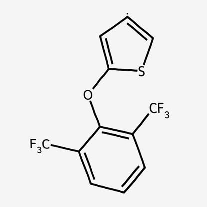 FC(F)(F)c1cccc(C(F)(F)F)c1Oc1c[c]cs1